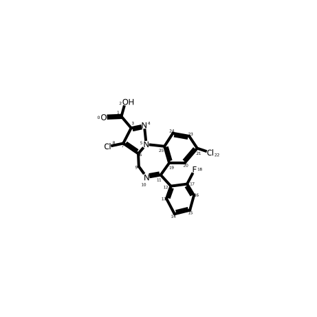 O=C(O)c1nn2c(c1Cl)CN=C(c1ccccc1F)c1cc(Cl)ccc1-2